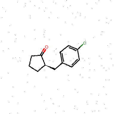 O=C1CCC[C@@H]1Cc1ccc(Cl)cc1